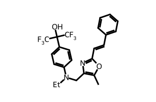 CCN(Cc1nc(C=Cc2ccccc2)oc1C)c1ccc(C(O)(C(F)(F)F)C(F)(F)F)cc1